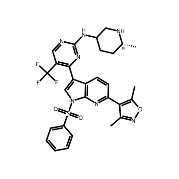 Cc1noc(C)c1-c1ccc2c(-c3nc(NC4CC[C@@H](C)NC4)ncc3C(F)(F)F)cn(S(=O)(=O)c3ccccc3)c2n1